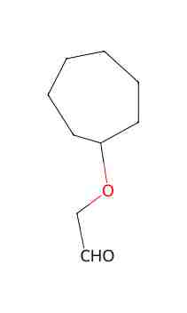 O=CCOC1CCCCCC1